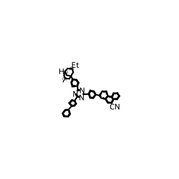 CC[C@@H]1C[C@@H]2C[C@H](C)CC(c3ccc(-c4nc(-c5ccc(-c6ccccc6)cc5)nc(-c5ccc(-c6ccc7c(c6)cc(C#N)c6ccccc67)cc5)n4)cc3)(C1)C2